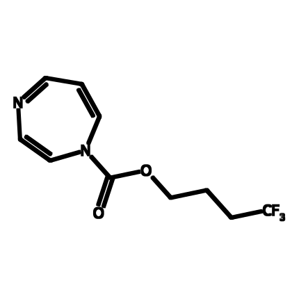 O=C(OCCCC(F)(F)F)N1C=CC=NC=C1